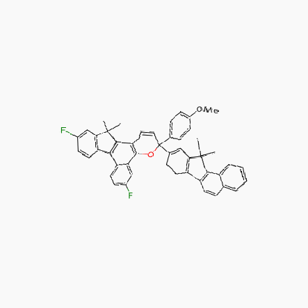 COc1ccc(C2(C3=CC4=C(CC3)c3ccc5ccccc5c3C4(C)C)C=Cc3c4c(c5ccc(F)cc5c3O2)-c2ccc(F)cc2C4(C)C)cc1